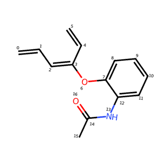 C=C/C=C(\C=C)Oc1ccccc1NC(C)=O